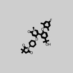 Cc1cc(F)cc(C)c1Oc1ccc(C(C)(C)O)cc1-c1cn(C)c(=O)cc1O[C@H]1CC[C@H](N2C(=O)CC(C)(C)C2=O)CC1